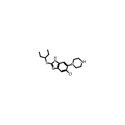 CCC(CC)Sc1nc2cc(Cl)c(N3CCNCC3)cc2[nH]1